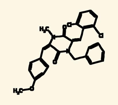 COc1ccc(C=c2c(=O)n(Cc3ccccc3)c(=Cc3c(Cl)cccc3Cl)c(=O)n2C)cc1